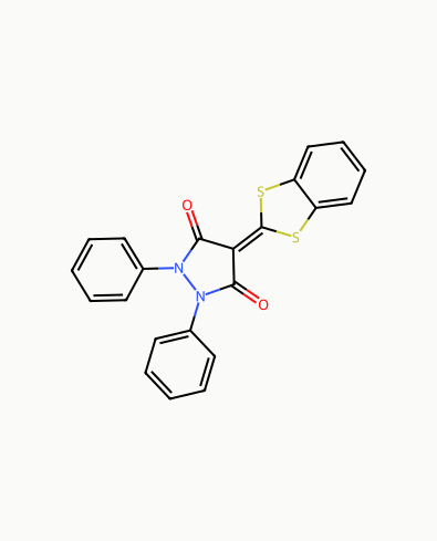 O=C1C(=C2Sc3ccccc3S2)C(=O)N(c2ccccc2)N1c1ccccc1